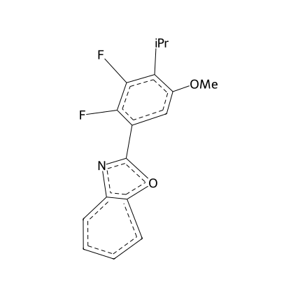 COc1cc(-c2nc3ccccc3o2)c(F)c(F)c1C(C)C